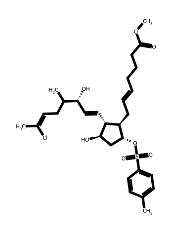 COC(=O)CCCC=CC[C@@H]1[C@@H](C=C[C@@H](O)C(C)CC=C(C)Cl)[C@H](O)C[C@H]1OS(=O)(=O)c1ccc(C)cc1